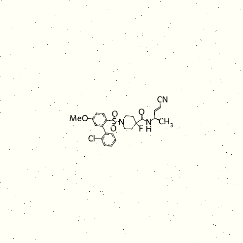 COc1ccc(S(=O)(=O)N2CCC(F)(C(=O)N[C@H](C)/C=C/C#N)CC2)c(-c2ccccc2Cl)c1